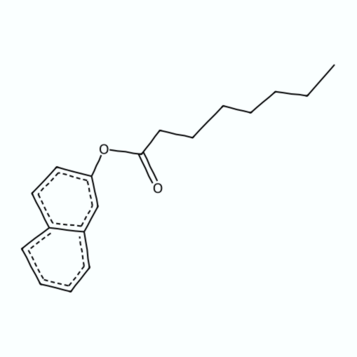 CCCCCCCC(=O)Oc1ccc2ccccc2c1